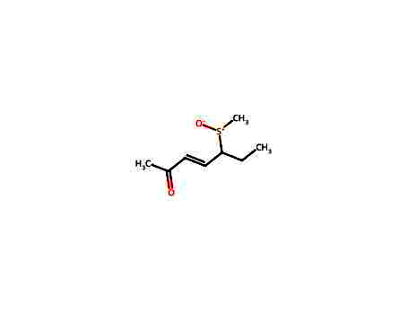 CCC(/C=C/C(C)=O)[S+](C)[O-]